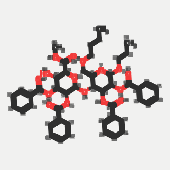 CCCCOCC1O[C@@H](OCCC)[C@@H](OC(=O)c2ccccc2)C(OC(=O)c2ccccc2)[C@@H]1O[C@@H]1OC(C(=O)OC)[C@@H](O)C(OC(=O)c2ccccc2)[C@@H]1OC(=O)c1ccccc1